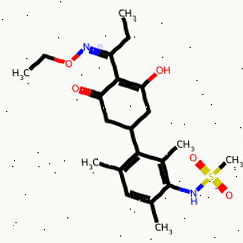 CCO/N=C(/CC)C1=C(O)CC(c2c(C)cc(C)c(NS(C)(=O)=O)c2C)CC1=O